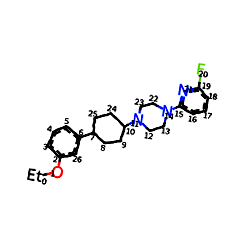 CCOc1cccc(C2CCC(N3CCN(c4cccc(F)n4)CC3)CC2)c1